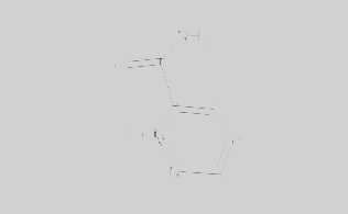 NC(=O)c1cccnc1.[CaH2]